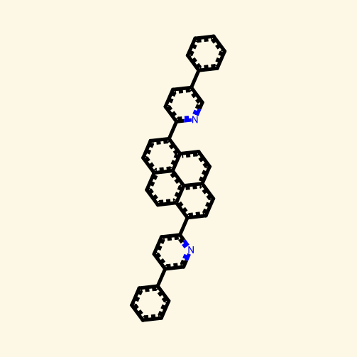 c1ccc(-c2ccc(-c3ccc4ccc5c(-c6ccc(-c7ccccc7)cn6)ccc6ccc3c4c65)nc2)cc1